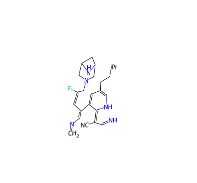 C=N/C=C(\C=C(\F)CN1CC2CC(C1)N2)C1=CC(CCC(C)C)=CN/C1=C(/C#N)C=N